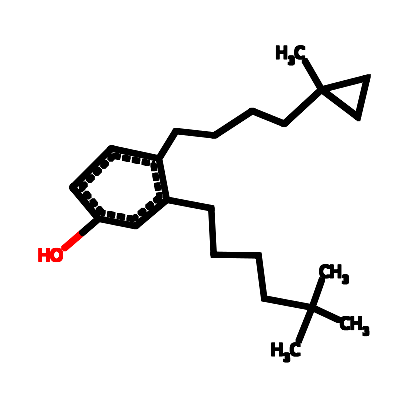 CC(C)(C)CCCCc1cc(O)ccc1CCCCC1(C)CC1